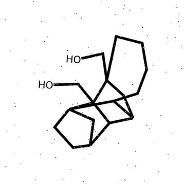 OCC12CCCCC3C(C1)C1C4CCC3(C4)C12CO